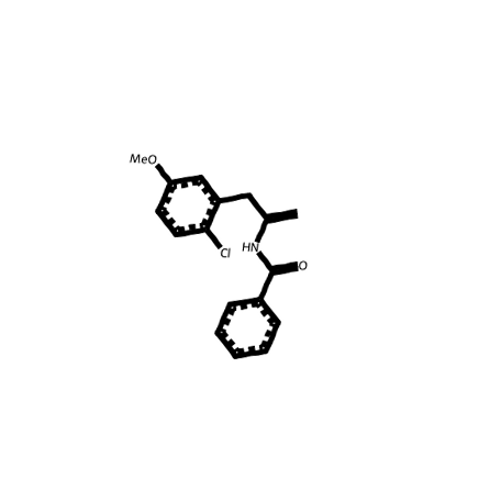 C=C(Cc1cc(OC)ccc1Cl)NC(=O)c1ccccc1